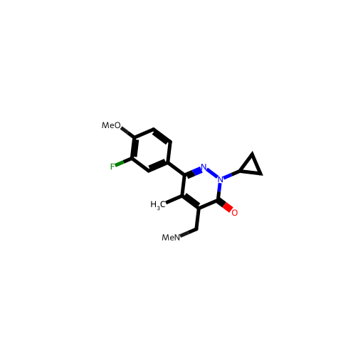 CNCc1c(C)c(-c2ccc(OC)c(F)c2)nn(C2CC2)c1=O